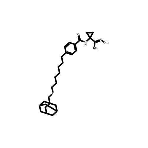 N/C(=N\O)C1(NC(=O)c2ccc(CCCCCCCOCC34CC5CC(CC(C5)C3)C4)cc2)CC1